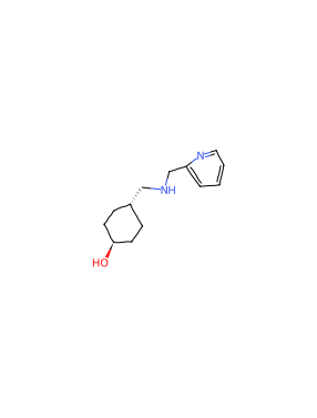 O[C@H]1CC[C@H](CNCc2ccccn2)CC1